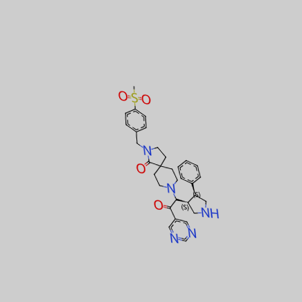 CS(=O)(=O)c1ccc(CN2CCC3(CCN(C(C(=O)c4cncnc4)[C@@H]4CNC[C@@H]4c4ccccc4)CC3)C2=O)cc1